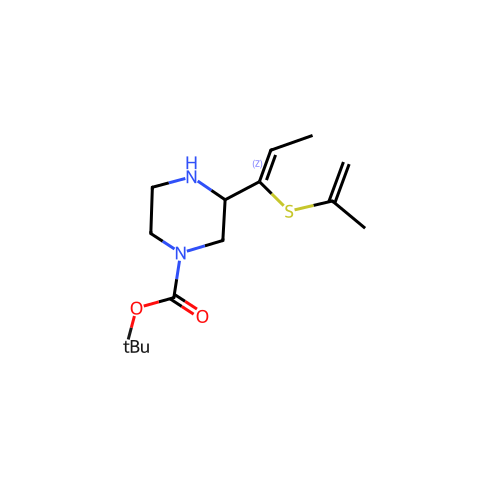 C=C(C)S/C(=C\C)C1CN(C(=O)OC(C)(C)C)CCN1